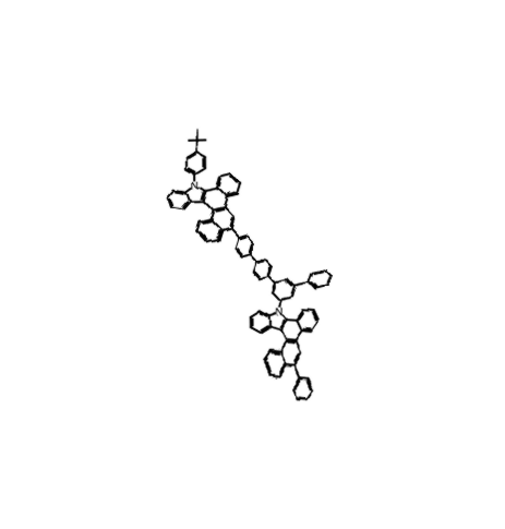 CC(C)(C)c1ccc(-n2c3ccccc3c3c4c5ccccc5c(-c5ccc(-c6ccc(C7=CC(n8c9ccccc9c9c%10c%11ccccc%11c(-c%11ccccc%11)cc%10c%10ccccc%10c98)CC(c8ccccc8)=C7)cc6)cc5)cc4c4ccccc4c32)cc1